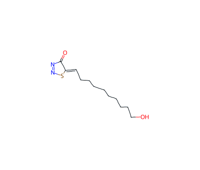 O=C1N=NSC1=CCCCCCCCCCO